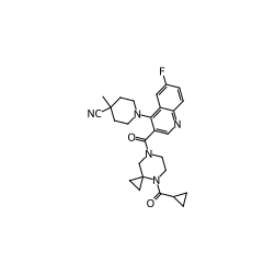 CC1(C#N)CCN(c2c(C(=O)N3CCN(C(=O)C4CC4)C4(CC4)C3)cnc3ccc(F)cc23)CC1